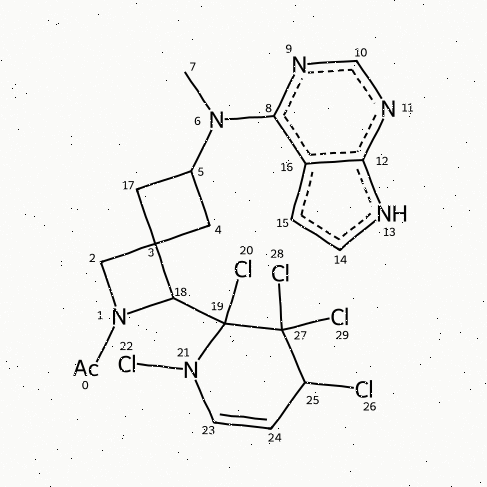 CC(=O)N1CC2(CC(N(C)c3ncnc4[nH]ccc34)C2)C1C1(Cl)N(Cl)C=CC(Cl)C1(Cl)Cl